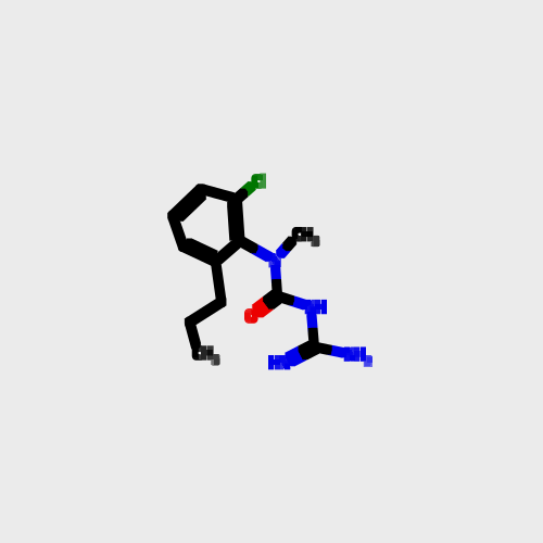 CCCc1cccc(Cl)c1N(C)C(=O)NC(=N)N